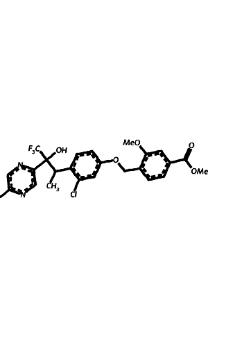 COC(=O)c1ccc(COc2ccc(C(C)C(O)(c3cnc(C)cn3)C(F)(F)F)c(Cl)c2)c(OC)c1